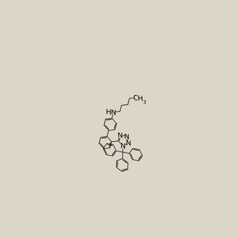 CCCCCNc1ccc(-c2ccccc2-c2nnnn2C(c2ccccc2)(c2ccccc2)c2ccccc2)cc1